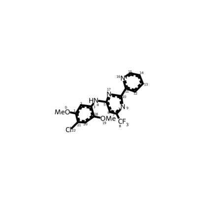 COc1cc(Nc2cc(C(F)(F)F)nc(-c3ccccn3)n2)c(OC)cc1Cl